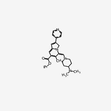 CC1=C(C(=O)OC(C)C)C=C2C=C(c3ccncc3)CN2C1=CN1CCC(N(C)C)CC1